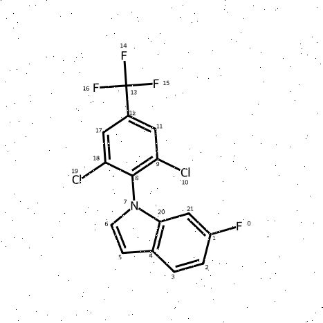 Fc1ccc2ccn(-c3c(Cl)cc(C(F)(F)F)cc3Cl)c2c1